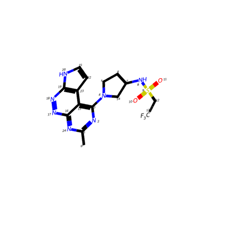 Cc1nc(N2CCC(NS(=O)(=O)CC(F)(F)F)C2)c2c(nnc3[nH]ccc32)n1